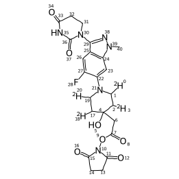 [2H]C1C([2H])C(O)(CC(=O)ON2C(=O)CCC2=O)C([2H])C([2H])N1c1cc2c(cc1F)c(N1CCC(=O)NC1=O)nn2C